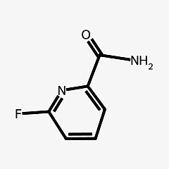 NC(=O)c1cccc(F)n1